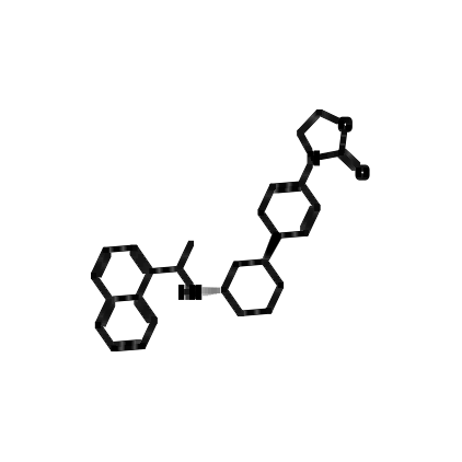 CC(N[C@H]1CCC[C@H](C2C=CC(N3CCOC3=O)=CC2)C1)c1cccc2ccccc12